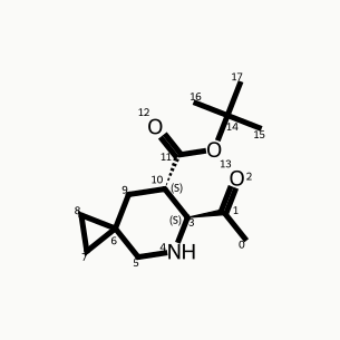 CC(=O)[C@H]1NCC2(CC2)C[C@@H]1C(=O)OC(C)(C)C